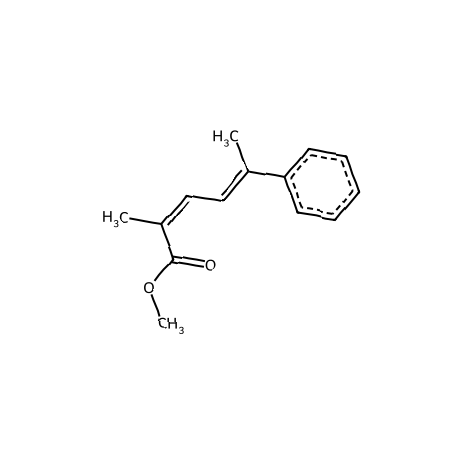 COC(=O)C(C)=CC=C(C)c1ccccc1